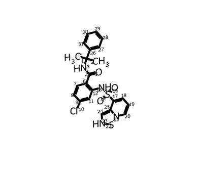 CC(C)(NC(=O)c1ccc(Cl)cc1NS(=O)(=O)C1=CC=CN2SNC=C12)c1ccccc1